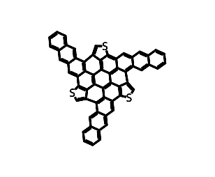 c1ccc2cc3c(cc2c1)cc1c2scc4c5c6cc7ccccc7cc6cc6c7scc8c9c%10cc%11ccccc%11cc%10cc%10c%11scc%12c3c1c1c(c42)c(c65)c(c87)c(c%109)c1c%12%11